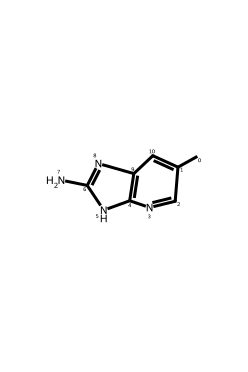 Cc1cnc2[nH]c(N)nc2c1